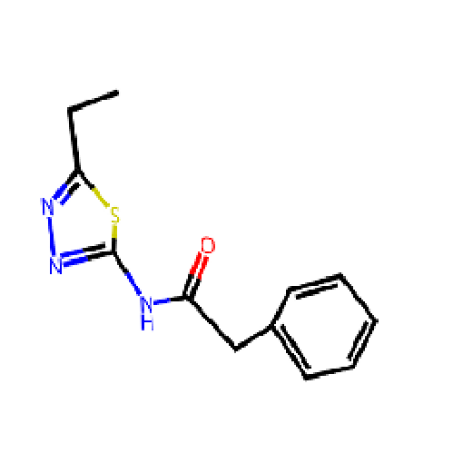 CCc1nnc(NC(=O)Cc2ccccc2)s1